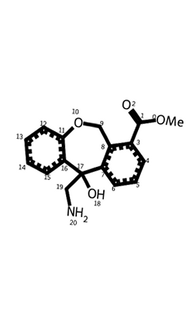 COC(=O)c1cccc2c1COc1ccccc1C2(O)CN